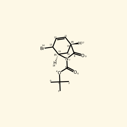 CC(C)(C)OC(=O)N1C(=O)[C@H]2C=CC(Br)[C@H]1C2